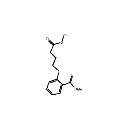 COC(=O)c1ccccc1OCCCC(=O)OC(C)(C)C